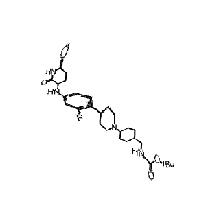 CC(C)(C)OC(=O)NCC1CCC(N2CCC(c3ccc(NC4CCC(=O)NC4=O)cc3F)CC2)CC1